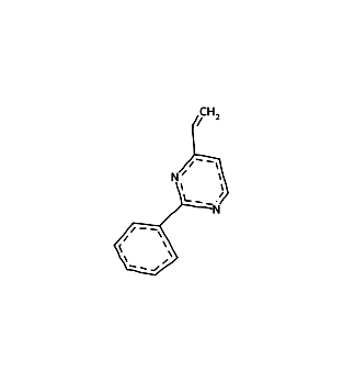 C=Cc1ccnc(-c2ccccc2)n1